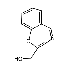 OCC1=CN=Cc2ccccc2O1